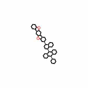 c1ccc(-c2c3ccccc3c(-c3ccc(-c4ccc5c(c4)oc4cc6c(cc45)oc4ccccc46)c4ccccc34)c3ccccc23)cc1